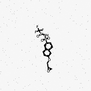 O=S(=O)(N[S+]([O-])C(F)(F)F)c1ccc2cc(OCC3CO3)ccc2c1